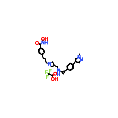 Cn1cc(-c2ccc(C3CC3NCC3CN(CCCc4ccc(C(=O)NO)cc4)C3)cc2)cn1.O=C(O)C(F)(F)F